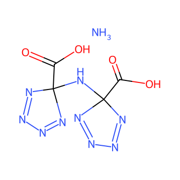 N.O=C(O)C1(NC2(C(=O)O)N=NN=N2)N=NN=N1